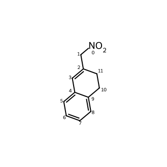 O=[N+]([O-])CC1=Cc2ccccc2CC1